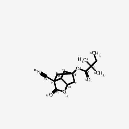 CCC(C)(C)C(=O)OC12CC3OC(=O)C(C#N)(C1)C3C2